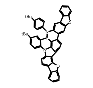 CC(C)(C)c1ccc(N2B3c4cc(C(C)(C)C)ccc4-n4c5ccc6c7ccccc7oc6c5c5ccc(c3c54)-c3cc4sc5ccccc5c4cc32)cc1